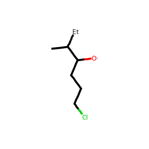 CCC(C)C([O])CCCCl